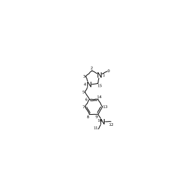 CN1CCN(Cc2ccc(N(C)C)cc2)C1